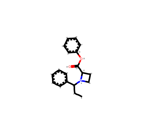 CCC(c1ccccc1)N1CCC1C(=O)Oc1ccccc1